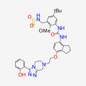 COc1c(CN[SH](=O)=O)cc(C(C)(C)C)cc1NC(=O)Nc1ccc(OCCN2CCn3c(nnc3-c3ccccc3O)C2)c2c1CCC2